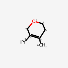 CC1=C(C(C)C)COCC1